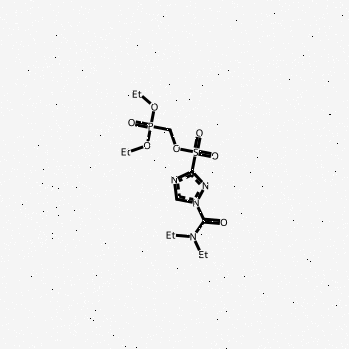 CCOP(=O)(COS(=O)(=O)c1ncn(C(=O)N(CC)CC)n1)OCC